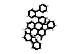 Cc1cc2c(c(-c3c(-c4ccccc4-c4ccccc4-c4ccccc4)ccc4c3-c3c5c(ccc3=N4)=c3ccccc3=N5)c1C)Cc1ccccc1-2